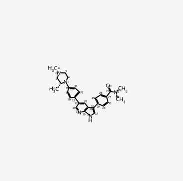 C[C@@H]1CN(C)CCN1c1ccc(-c2cnc3[nH]cc(-c4ccc(C(=O)N(C)C)cc4)c3c2)cc1